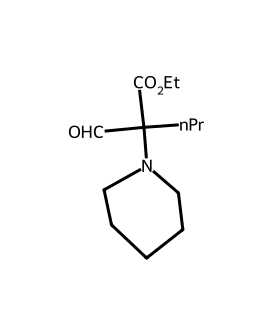 CCCC(C=O)(C(=O)OCC)N1CCCCC1